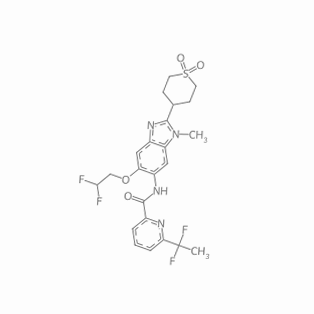 Cn1c(C2CCS(=O)(=O)CC2)nc2cc(OCC(F)F)c(NC(=O)c3cccc(C(C)(F)F)n3)cc21